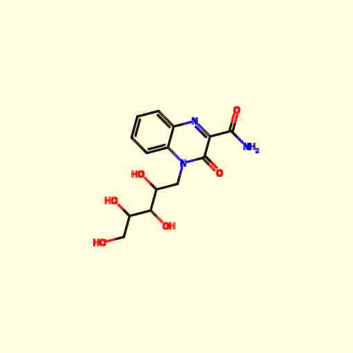 NC(=O)c1nc2ccccc2n(CC(O)C(O)C(O)CO)c1=O